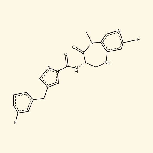 CN1C(=O)[C@@H](NC(=O)n2cc(Cc3cccc(F)c3)cn2)CNc2cc(F)ncc21